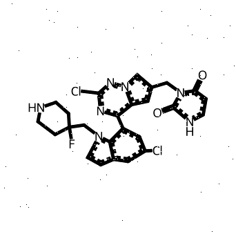 O=c1cc[nH]c(=O)n1Cc1cc2c(-c3cc(Cl)cc4ccn(CC5(F)CCNCC5)c34)nc(Cl)nn2c1